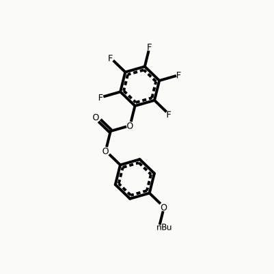 CCCCOc1ccc(OC(=O)Oc2c(F)c(F)c(F)c(F)c2F)cc1